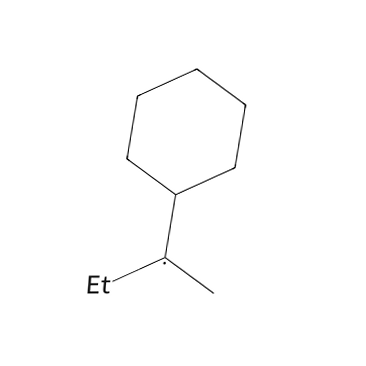 CC[C](C)C1CCCCC1